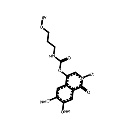 CCn1cc(OC(=O)NCCCOC(C)C)c2cc(OC)c(OC)cc2c1=O